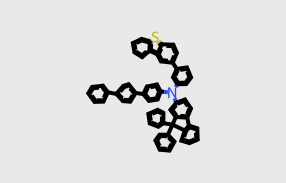 c1ccc(-c2ccc(-c3ccc(N(c4cccc(-c5ccc6sc7ccccc7c6c5)c4)c4ccc5c(c4)C(c4ccccc4)(c4ccccc4)c4ccccc4-5)cc3)cc2)cc1